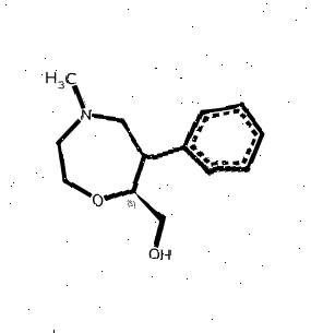 CN1CCO[C@H](CO)C(c2ccccc2)C1